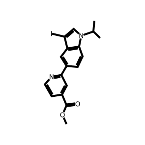 COC(=O)c1ccnc(-c2ccc3c(c2)c(I)cn3C(C)C)c1